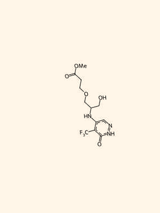 COC(=O)CCOCC(CO)Nc1cn[nH]c(=O)c1C(F)(F)F